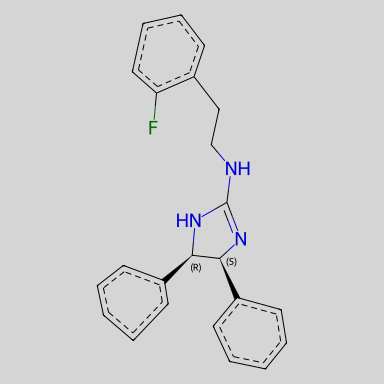 Fc1ccccc1CCNC1=N[C@@H](c2ccccc2)[C@@H](c2ccccc2)N1